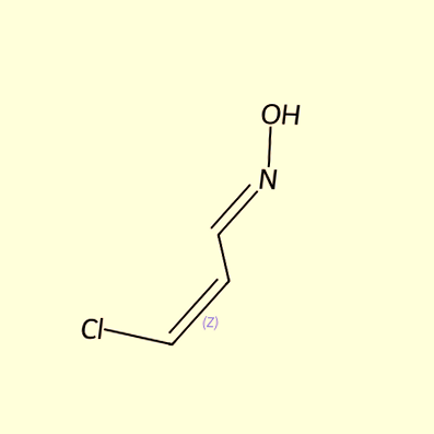 ON=C/C=C\Cl